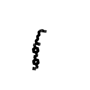 CCCCCCCCCCCCCCCC(=O)Oc1ccc(N=Nc2ccc(OCC)cc2)cc1